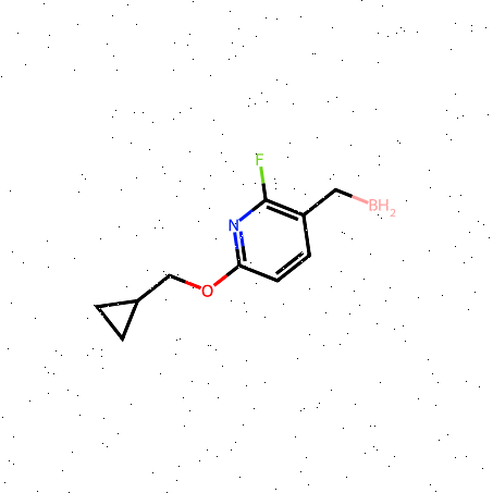 BCc1ccc(OCC2CC2)nc1F